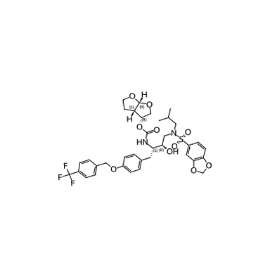 CC(C)CN(C[C@@H](O)[C@H](Cc1ccc(OCc2ccc(C(F)(F)F)cc2)cc1)NC(=O)O[C@H]1CO[C@H]2OCC[C@H]21)S(=O)(=O)c1ccc2c(c1)OCO2